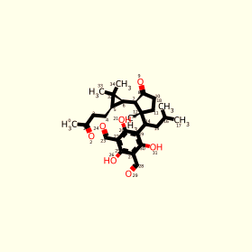 CC(=O)CC[C@@H]1[C@H]([C@H]2C(=O)CC[C@]2(C)C(CC(C)C)c2c(O)c(C=O)c(O)c(C=O)c2O)C1(C)C